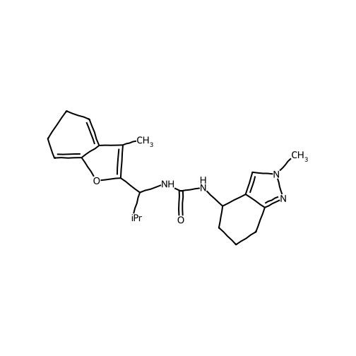 Cc1c(C(NC(=O)NC2CCCc3nn(C)cc32)C(C)C)oc2c1=CCCC=2